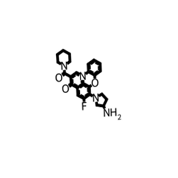 NC1CCN(c2c(F)cc3c(=O)c(C(=O)N4CCCCC4)cn4c3c2Oc2ccccc2-4)C1